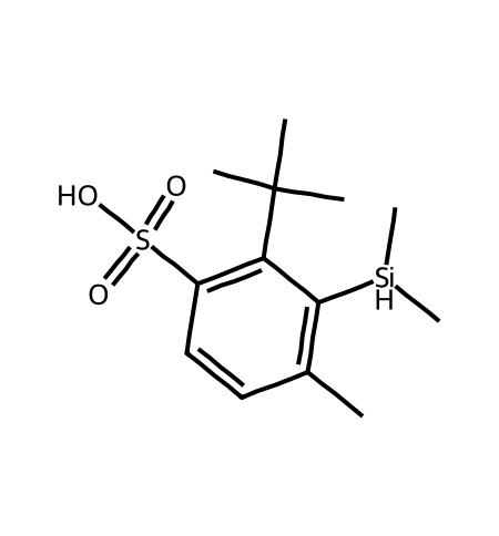 Cc1ccc(S(=O)(=O)O)c(C(C)(C)C)c1[SiH](C)C